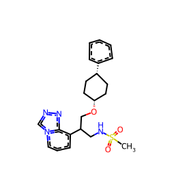 CS(=O)(=O)NCC(CO[C@H]1CC[C@@H](c2ccccc2)CC1)c1cccn2cnnc12